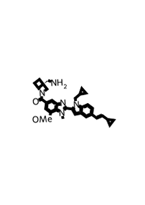 COc1cc(C(=O)N2C[C@]3(CN)CCC23)cc2nc(-c3cc4cc(/C=C/C5CC5)ccc4n3CC3CC3)n(C)c12